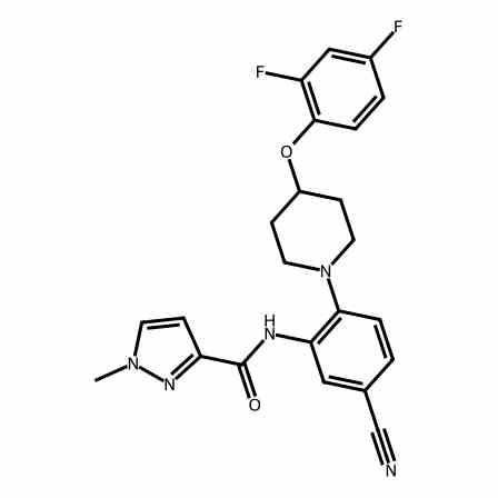 Cn1ccc(C(=O)Nc2cc(C#N)ccc2N2CCC(Oc3ccc(F)cc3F)CC2)n1